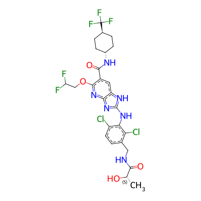 C[C@H](O)C(=O)NCc1ccc(Cl)c(Nc2nc3nc(OCC(F)F)c(C(=O)N[C@H]4CC[C@H](C(F)(F)F)CC4)cc3[nH]2)c1Cl